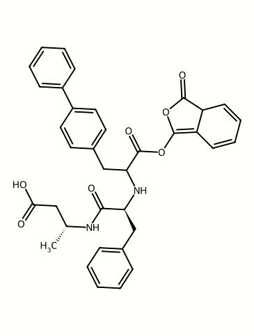 C[C@H](CC(=O)O)NC(=O)[C@H](Cc1ccccc1)NC(Cc1ccc(-c2ccccc2)cc1)C(=O)OC1=C2C=CC=CC2C(=O)O1